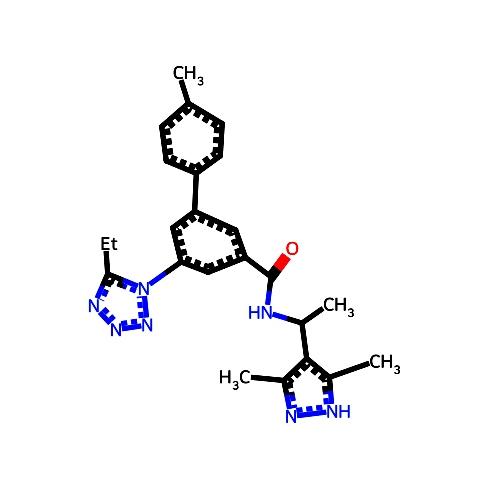 CCc1nnnn1-c1cc(C(=O)NC(C)c2c(C)n[nH]c2C)cc(-c2ccc(C)cc2)c1